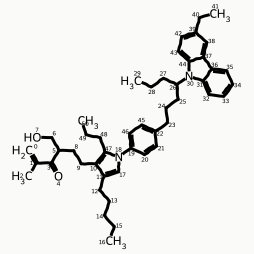 C=C(C)C(=O)C(CO)CCc1c(CCCCC)cn(-c2ccc(CCCC(CCC)n3c4ccccc4c4cc(CC)ccc43)cc2)c1CCC